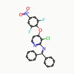 O=[N+]([O-])c1cc(F)c(Oc2ccnc(N=C(c3ccccc3)c3ccccc3)c2Cl)c(F)c1